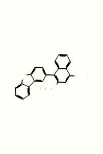 O=C(O)c1cc(O)c2ccccc2c1-c1ccc2oc3ccccc3c2c1